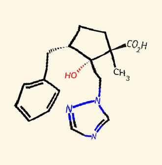 C[C@@]1(C(=O)O)CC[C@@H](Cc2ccccc2)[C@]1(O)Cn1cncn1